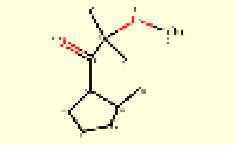 CCCCOC(C)(C)C(=O)C1CCCC1C